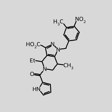 CCC1c2c(C(=O)O)nn(Cc3ccc([N+](=O)[O-])c(C)c3)c2C(C)CN1C(=O)c1ccc[nH]1